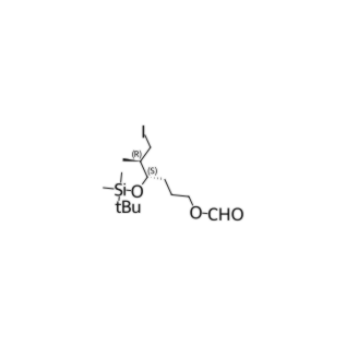 C[C@@H](CI)[C@H](CCCOC=O)O[Si](C)(C)C(C)(C)C